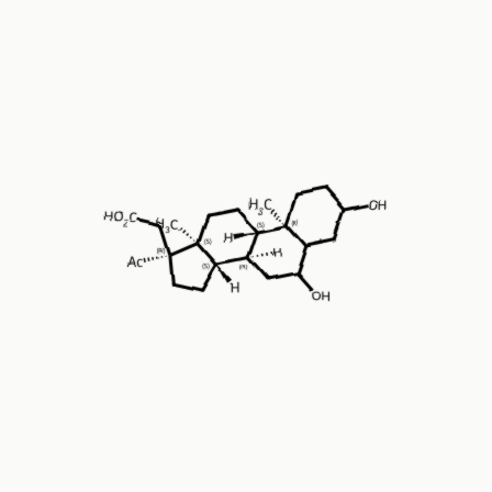 CC(=O)[C@@]1(CC(=O)O)CC[C@H]2[C@@H]3CC(O)C4CC(O)CC[C@]4(C)[C@H]3CC[C@@]21C